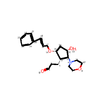 O=CCC[C@H]1[C@H](N2CCOCC2)[C@@H](O)C[C@H]1OC/C=C/c1ccccc1